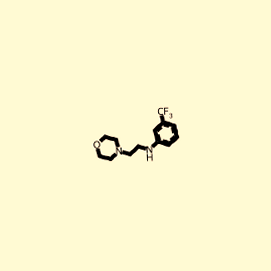 FC(F)(F)c1cccc(NCCN2CCOCC2)c1